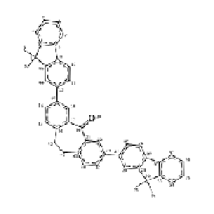 CC1(C)c2ccccc2-c2ccc(-c3ccc4c(c3)C(=O)c3cc(-c5ccc6c(c5)C(C)(C)c5ccccc5-6)ccc3CC4)cc21